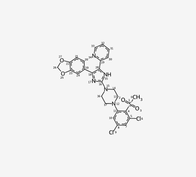 CS(=O)(=O)c1c(Cl)cc(Cl)cc1N1CCN(c2nc(-c3ccc4c(c3)OCO4)c(-c3ccccn3)[nH]2)CC1